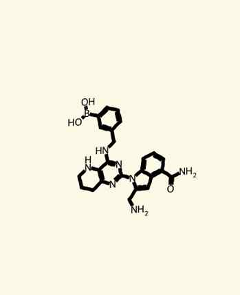 NCc1cc2c(C(N)=O)cccc2n1-c1nc2c(c(NCc3cccc(B(O)O)c3)n1)NCCC2